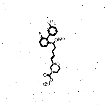 COC(CCC=CC1CN(C(=O)OC(C)(C)C)CCO1)c1cccc(F)c1-c1cccc(C)c1